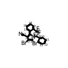 N#Cc1c(Br)c(Br)n(Cc2ccccc2)c1-c1ccccc1C(F)(F)F